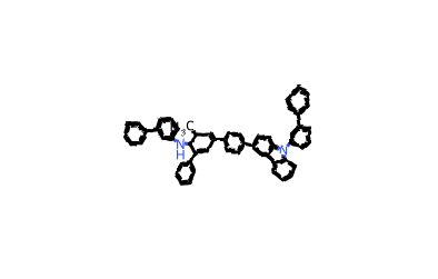 CC1C=C(c2ccc(-c3ccc4c(c3)c3ccccc3n4-c3cccc(-c4ccccc4)c3)cc2)C=C(c2ccccc2)C1Nc1cccc(-c2ccccc2)c1